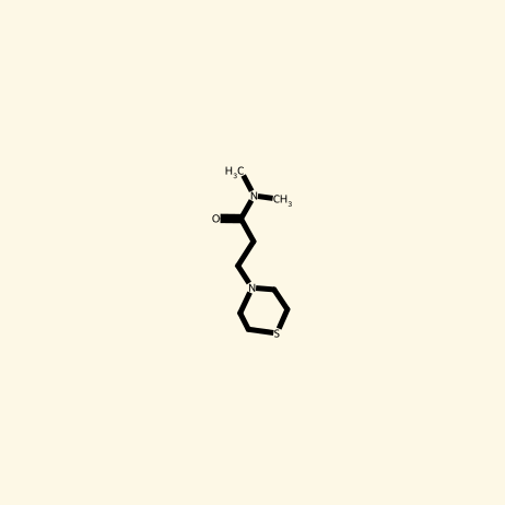 CN(C)C(=O)CCN1CCSCC1